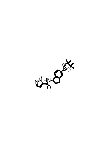 Cn1nccc1C(=O)N[C@@H]1CCc2cc(B3OC(C)(C)C(C)(C)O3)ccc21